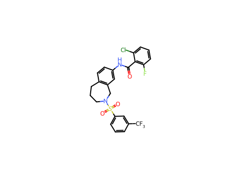 O=C(Nc1ccc2c(c1)CN(S(=O)(=O)c1cccc(C(F)(F)F)c1)CCC2)c1c(F)cccc1Cl